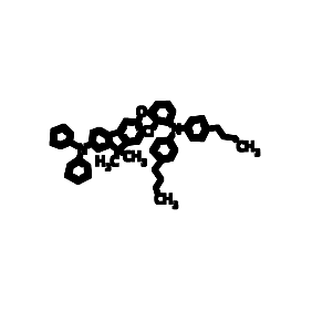 CCCCc1ccc(N(c2ccc(CCCC)cc2)c2cccc(Oc3ccc4c(c3)-c3ccc(N(c5ccccc5)c5ccccc5)cc3C4(C)C)c2Cl)cc1